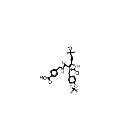 COC(C)(C)C#CC1=C(C(=O)NCc2ccc(C(=O)O)cc2)N(Cc2ccc(OC(F)(F)F)cc2)C(Cl)N1